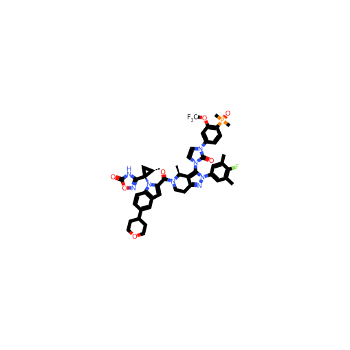 Cc1cc(-n2nc3c(c2-n2ccn(-c4ccc(P(C)(C)=O)c(OC(F)(F)F)c4)c2=O)[C@H](C)N(C(=O)c2cc4cc(C5CCOCC5)ccc4n2[C@@]2(c4noc(=O)[nH]4)C[C@@H]2C)CC3)cc(C)c1F